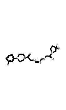 O=C(CN/C=N\CSCC(=O)N1CCC(F)(F)C1)N1CCN(c2cccc(Cl)c2)CC1